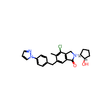 Cc1c(Cc2ccc(-n3cccn3)cc2)cc2c(c1Cl)CN([C@@H]1CCC[C@H]1O)C2=O